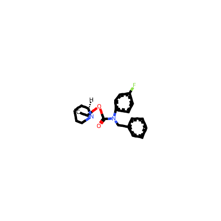 O=C(O[C@@H]1CC2CCN1CC2)N(Cc1ccccc1)c1ccc(F)cc1